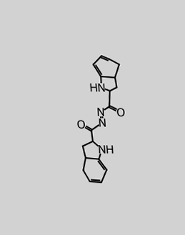 O=C(N=NC(=O)C1CC2CC=CC=C2N1)C1CC2CC=CC=C2N1